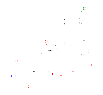 NC(=O)C1=C(O)C[C@@H]2[C@@H](O)[C@H]3C(=C(O)[C@]2(O)C1=O)C(=O)c1c(O)cccc1/C3=C\c1ccc(Cl)cc1